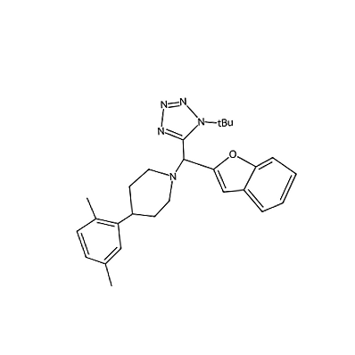 Cc1ccc(C)c(C2CCN(C(c3cc4ccccc4o3)c3nnnn3C(C)(C)C)CC2)c1